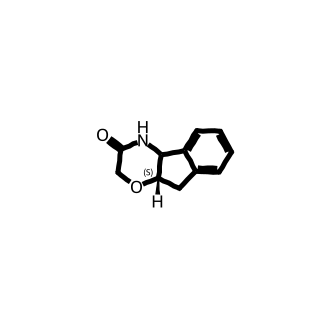 O=C1CO[C@H]2Cc3ccccc3C2N1